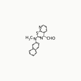 CN(C1=NC(C=O)c2cccnc2S1)c1ccc2ccccc2c1